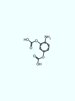 Nc1ccc(OC(=O)O)cc1OC(=O)O